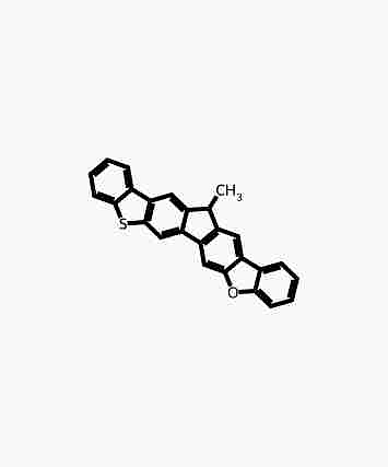 CC1c2cc3c(cc2-c2cc4sc5ccccc5c4cc21)oc1ccccc13